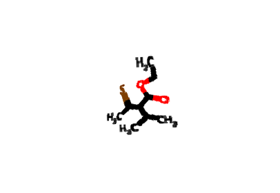 CCOC(=O)C(C(C)=S)C(C)C